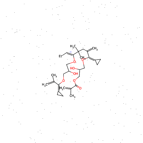 C=C(C)C(=O)OCC(O)COC(C(=C)CC(C)(C)/C(=C/CC)OCC(O)COC(C(=C)C)=C1CC1)=C1CC1